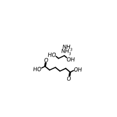 N.N.O=C(O)CCCCC(=O)O.OCCO